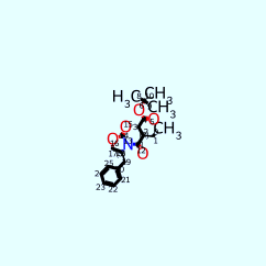 CC[C@H](CC(=O)OC(C)(C)C)C(=O)N1C(=O)OC[C@@H]1Cc1ccccc1